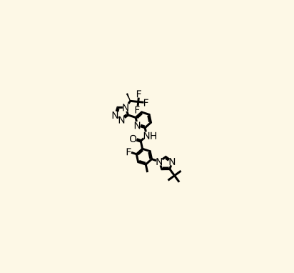 Cc1cc(F)c(C(=O)Nc2cccc(-c3nncn3[C@@H](C)C(F)(F)F)n2)cc1-n1cnc(C(C)(C)C)c1